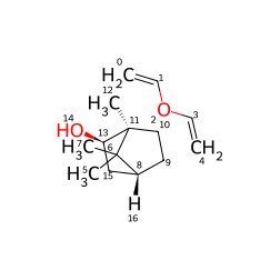 C=COC=C.CC1(C)[C@@H]2CC[C@]1(C)[C@H](O)C2